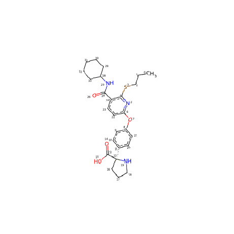 CCCSc1nc(Oc2ccc([C@@]3(C(=O)O)CCCN3)cc2)ccc1C(=O)NC1CCCCC1